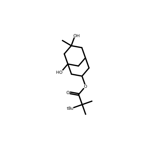 CC1(O)CC2CC(OC(=O)C(C)(C)C(C)(C)C)CC(O)(C2)C1